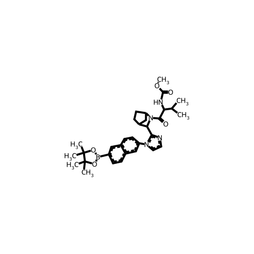 COC(=O)NC(C(=O)N1C2CCC(C2)C1c1nccn1-c1ccc2cc(B3OC(C)(C)C(C)(C)O3)ccc2c1)C(C)C